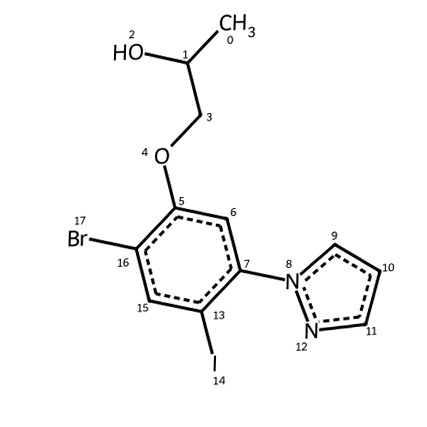 CC(O)COc1cc(-n2cccn2)c(I)cc1Br